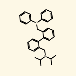 CC(C)P(Cc1ccccc1-c1ccccc1CP(c1ccccc1)c1ccccc1)C(C)C